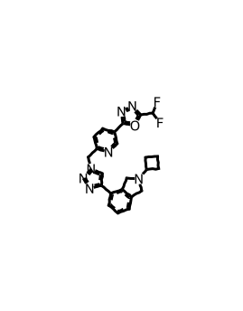 FC(F)c1nnc(-c2ccc(Cn3cc(-c4cccc5c4CN(C4CCC4)C5)nn3)nc2)o1